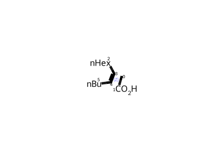 CC(=O)O.[CH2]CCCCC/C=C\CCCC